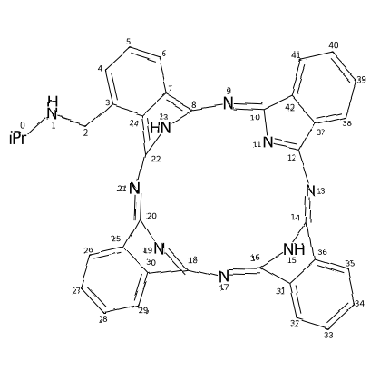 CC(C)NCc1cccc2c3nc4nc(nc5[nH]c(nc6nc(nc([nH]3)c12)-c1ccccc1-6)c1ccccc51)-c1ccccc1-4